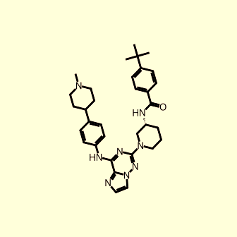 CN1CCC(c2ccc(Nc3nc(N4CCC[C@@H](NC(=O)c5ccc(C(C)(C)C)cc5)C4)nn4ccnc34)cc2)CC1